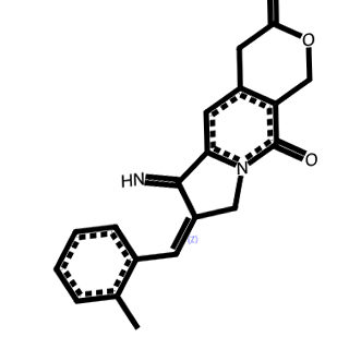 Cc1ccccc1/C=C1/Cn2c(cc3c(c2=O)COC(=O)C3)C1=N